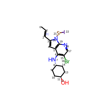 C/C=C/c1cc2c(N[C@H]3CC[C@H](O)CC3)c(Br)cnc2n1SI